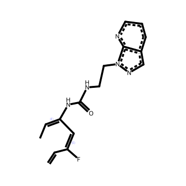 C=C/C(F)=C\C(=C/C)NC(=O)NCCn1ncc2cccnc21